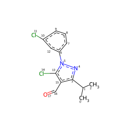 CC(C)c1nn(-c2cccc(Cl)c2)c(Cl)c1C=O